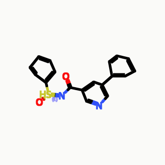 O=C(/N=[SH](=O)\c1ccccc1)c1cncc(-c2ccccc2)c1